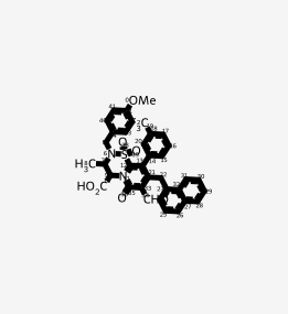 COc1ccc(CN2C(C)C(C(=O)O)n3c(c(-c4cccc(C(F)(F)F)c4)c(Cc4cccc5ccccc45)c(C=O)c3=O)S2(=O)=O)cc1